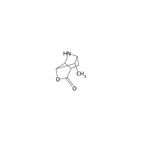 CC1C2CC3C(=O)OC1C3N2